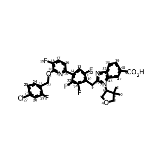 CC1(C)COCC1n1c(Cc2c(F)cc(-c3ccc(F)c(OCc4ccc(Cl)cc4F)n3)c(F)c2F)nc2ccc(C(=O)O)cc21